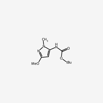 COc1cc(NC(=O)OC(C)(C)C)n(C)n1